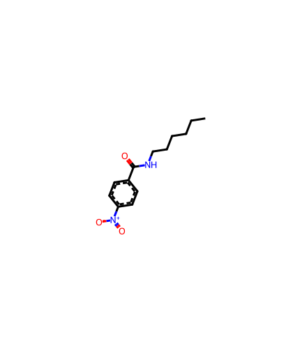 CCCCCCNC(=O)c1ccc([N+](=O)[O-])cc1